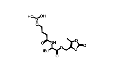 CCC(C)C(NC(=O)CCCON(O)O)C(=O)OCc1oc(=O)oc1C